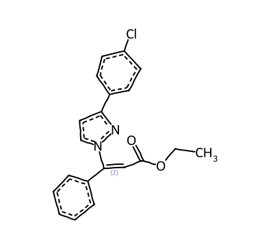 CCOC(=O)/C=C(/c1ccccc1)n1ccc(-c2ccc(Cl)cc2)n1